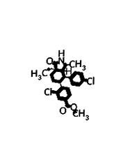 CC[C@@]12CC[C@@H](c3ccc(C(=O)OC)cc3Cl)[C@H](c3ccc(Cl)cc3)[C@@H]1[C@@H](C)NC2=O